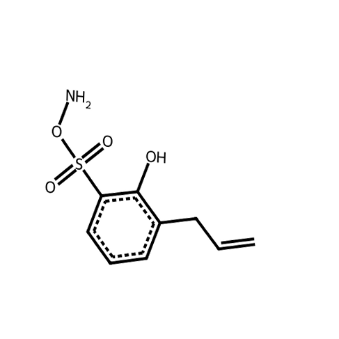 C=CCc1cccc(S(=O)(=O)ON)c1O